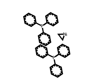 [CH2]1[CH2][Ni]1.c1ccc(P(c2ccccc2)c2ccccc2)cc1.c1ccc(P(c2ccccc2)c2ccccc2)cc1